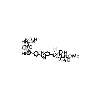 COC(=O)N[C@@H](C(=O)N1CCC[C@H]1c1ncc(-c2ccc3nc(-c4ccc(-c5c[nH]c([C@@H]6CCCN6C(=O)[C@@H](NC(=O)O)C(C)C)n5)cc4)cnc3c2)[nH]1)C(C)C